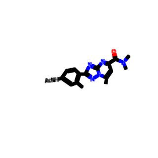 CC(=O)Nc1ccc(-c2nc3nc(C(=O)N(C)C)cc(C)n3n2)c(C)c1